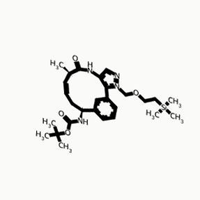 C[C@@H]1C=CC[C@H](NC(=O)OC(C)(C)C)c2cccc(c2)-c2c(cnn2COCC[Si](C)(C)C)NC1=O